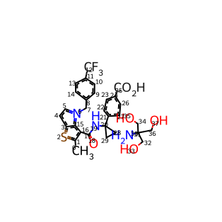 Cc1sc2ccn(Cc3ccc(C(F)(F)F)cc3)c2c1C(=O)NC1(c2ccc(C(=O)O)cc2)CC1.NC(CO)(CO)CO